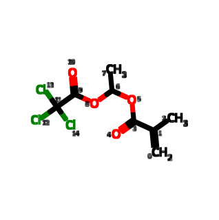 C=C(C)C(=O)OC(C)OC(=O)C(Cl)(Cl)Cl